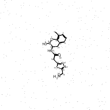 Cc1cccc2c1OB(O)C(NC(=O)Cc1nnc(CN)s1)C2